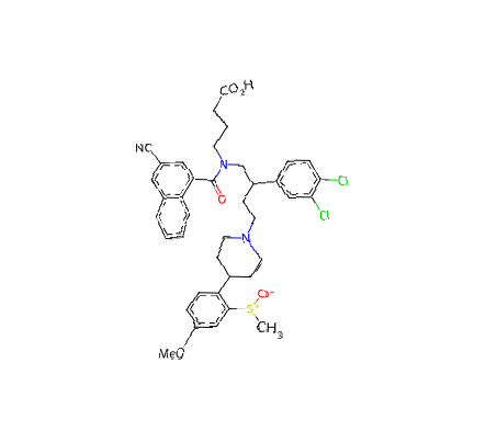 COc1ccc(C2CCN(CCC(CN(CCCC(=O)O)C(=O)c3cc(C#N)cc4ccccc34)c3ccc(Cl)c(Cl)c3)CC2)c([S+](C)[O-])c1